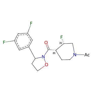 CC(=O)N1CC[C@H](C(=O)N2OCCC2c2cc(F)cc(F)c2)[C@H](F)C1